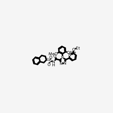 CCOc1cccc(-c2nnc(C(=O)NS(=O)(=O)[C@H]3CCc4ccccc4C3)n2-c2c(OC)cccc2OC)n1